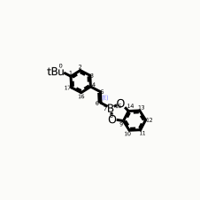 CC(C)(C)c1ccc(/C=C/B2Oc3ccccc3O2)cc1